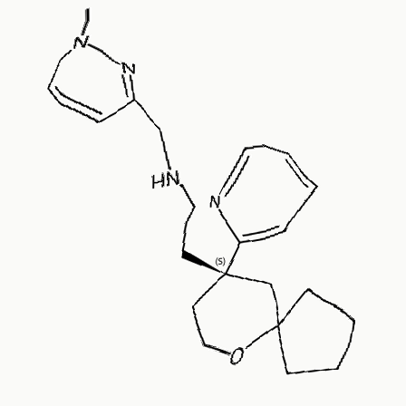 Cn1ccc(CNCC[C@]2(c3ccccn3)CCOC3(CCCC3)C2)n1